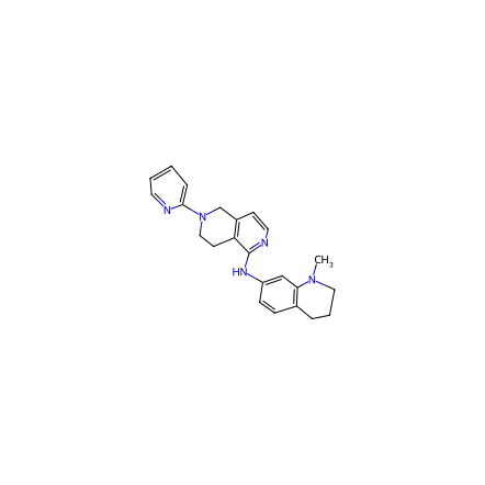 CN1CCCc2ccc(Nc3nccc4c3CCN(c3ccccn3)C4)cc21